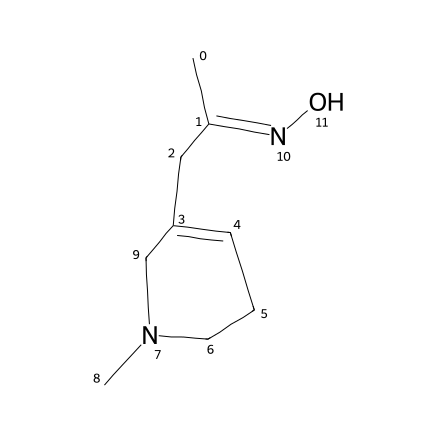 CC(CC1=CCCN(C)C1)=NO